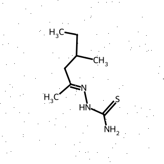 CCC(C)CC(C)=NNC(N)=S